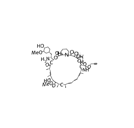 C#CCOC(=O)NC1C[C@@H]2CC[C@@H](C)[C@@](O)(O2)C(=O)C(=O)N2CCCC[C@H]2C(=O)O[C@H]([C@H](N)C[C@@H]2CC[C@@H](O)[C@H](OC)C2)CC(=O)[C@H](C)/C=C(\C)[C@@H](O)[C@@H](OC)C(=O)[C@H](C)C[C@H](C)/C=C/C=C/C=C/1C